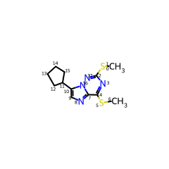 CSc1nc(SC)c2ncc(C3CCCC3)n2n1